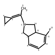 CC(=C1CC1)N1CC2C=CC=C(F)C2C1